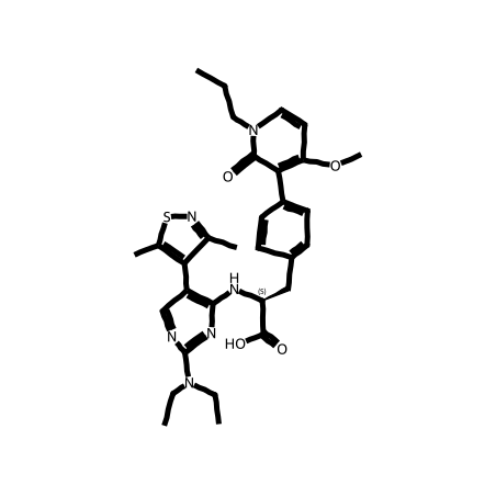 CCCn1ccc(OC)c(-c2ccc(C[C@H](Nc3nc(N(CC)CC)ncc3-c3c(C)nsc3C)C(=O)O)cc2)c1=O